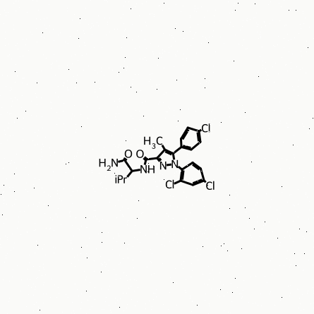 Cc1c(C(=O)NC(C(N)=O)C(C)C)nn(-c2ccc(Cl)cc2Cl)c1-c1ccc(Cl)cc1